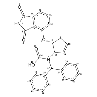 O=C1NC(=O)c2c(O[C@@H]3CC=C[C@@H]3N(C(=O)O)C(c3ccccc3)c3ccccc3)cccc21